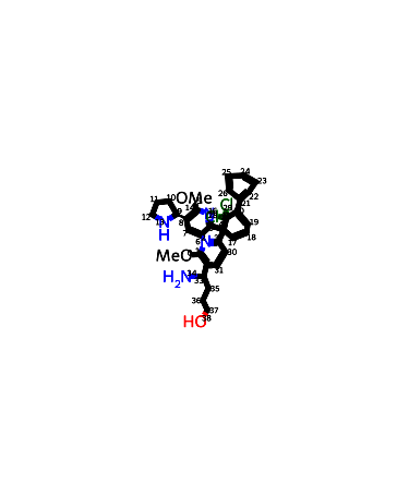 COc1nc(C2(c3ccc([C@@H]4CCCN4)c(OC)n3)C=CC=C(c3ccccc3)C2(Cl)Cl)ccc1C(N)CCCO